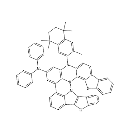 Cc1cc2c(cc1N1c3cc(N(c4ccccc4)c4ccccc4)cc4c3B(c3c1ccc1c3sc3ccccc31)n1c3c-4cccc3c3oc4ccccc4c31)C(C)(C)CCC2(C)C